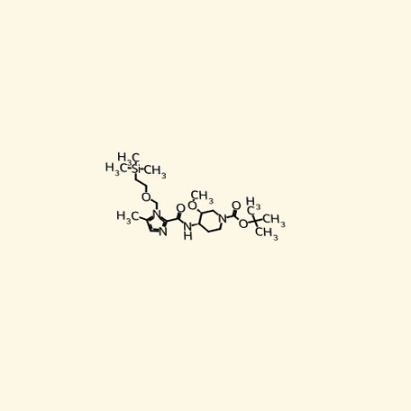 CO[C@H]1CN(C(=O)OC(C)(C)C)CC[C@H]1NC(=O)c1ncc(C)n1COCC[Si](C)(C)C